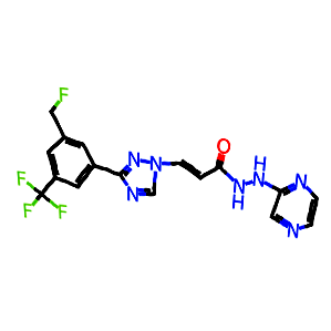 O=C(/C=C/n1cnc(-c2cc(CF)cc(C(F)(F)F)c2)n1)NNc1cnccn1